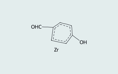 O=Cc1ccc(O)cc1.[Zr]